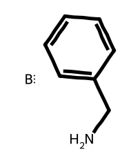 NCc1ccccc1.[B]